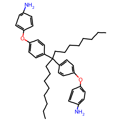 CCCCCCCCC(CCCCCCCC)(c1ccc(Oc2ccc(N)cc2)cc1)c1ccc(Oc2ccc(N)cc2)cc1